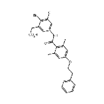 Cc1cc(OCCc2ccccc2)cc(C)c1C(=O)Nc1cc(Cl)c(Br)c(CC(=O)O)c1